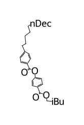 CCCCCCCCCCCCCCCc1ccc(C(=O)Oc2ccc(C(=O)OCC(C)CC)cc2)cc1